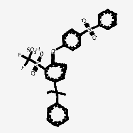 CC(C)(c1ccccc1)c1ccc(Oc2ccc(S(=O)(=O)c3ccccc3)cc2)c(S(=O)(=O)C(F)(F)S(=O)(=O)O)c1